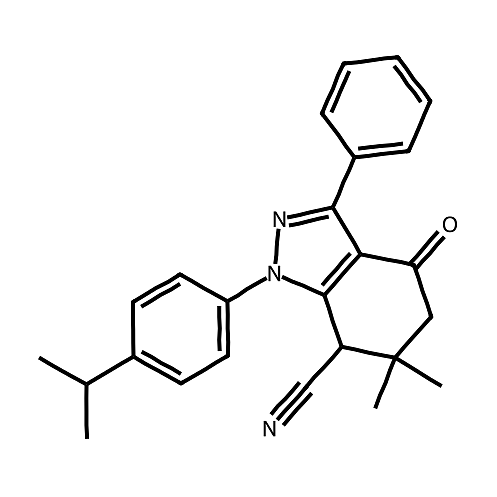 CC(C)c1ccc(-n2nc(-c3ccccc3)c3c2C(C#N)C(C)(C)CC3=O)cc1